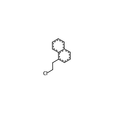 ClCCc1cccc2ccccc12